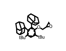 CC(C)(C)c1cc(C(C)(C)C)c(C23CC4CC(CC(C4)C2)C3)c(C23CC4CC(CC(C4)C2)C3)c1OCC1CO1